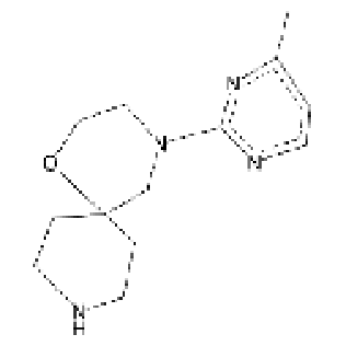 Cc1ccnc(N2CCOC3(CCNCC3)C2)n1